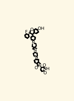 O=C1C=CC(N2Cc3cc(N4CCC(N5CC6(CCN(c7ccc([C@@H]8c9ccc(O)cc9OC[C@@H]8c8ccccc8F)cc7)CC6)C5)CC4)ccc3C2=O)C(=O)N1